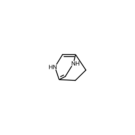 C1=C2CCC(=CN2)N1